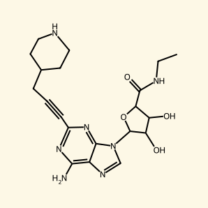 CCNC(=O)C1OC(n2cnc3c(N)nc(C#CCC4CCNCC4)nc32)C(O)C1O